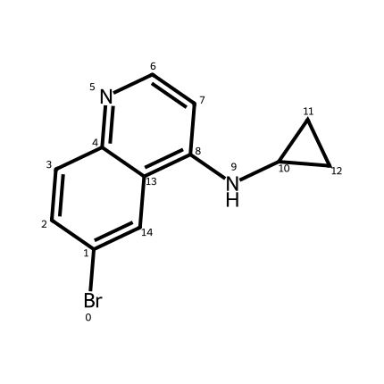 Brc1ccc2nccc(NC3CC3)c2c1